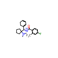 CN(C)C1(C(NC(=O)c2ccc(F)cc2C(F)(F)F)C2=CC=CCC2)CCCC1